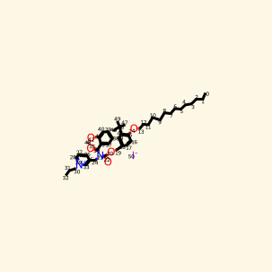 CCCCCCCCCCCCCCOc1ccc(COC(=O)N(Cc2ccc[n+](CCC)c2)C(=O)c2ccccc2OC)cc1C(C)(C)C.[I-]